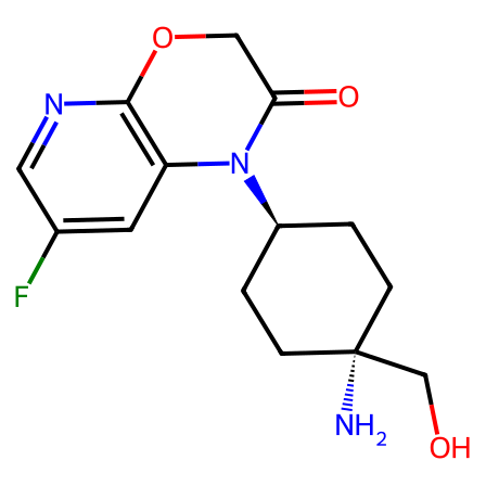 N[C@]1(CO)CC[C@@H](N2C(=O)COc3ncc(F)cc32)CC1